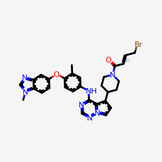 Cc1cc(Nc2ncnn3ccc(C4CCN(C(=O)/C=C/CBr)CC4)c23)ccc1Oc1ccc2c(c1)ncn2C